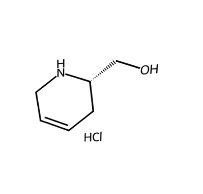 Cl.OC[C@@H]1CC=CCN1